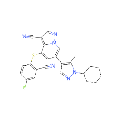 Cc1c(-c2cc(Sc3ccc(F)cc3C#N)c3c(C#N)cnn3c2)cnn1C1CCCCC1